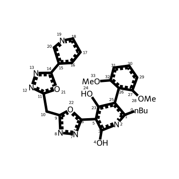 CCCCc1nc(O)c(-c2nnc(Cc3nnc(-c4cccnc4)o3)o2)c(O)c1-c1c(OC)cccc1OC